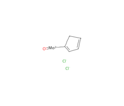 [Cl-].[Cl-].[O]=[Mo+2][C]1=CC=CC1